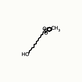 Cc1ccc(S(=O)(=O)CCCCCCCCCCCCCCO)cc1